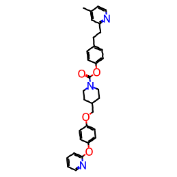 Cc1ccnc(CCc2ccc(OC(=O)N3CCC(COc4ccc(Oc5ccccn5)cc4)CC3)cc2)c1